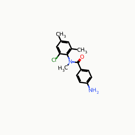 Cc1cc(C)c(N(C)C(=O)c2ccc(N)cc2)c(Cl)c1